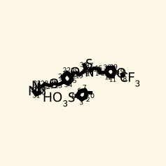 Cc1ccc(S(=O)(=O)O)cc1.FC(F)(F)Oc1ccc(C=Cc2nc(COc3ccc(COCCn4ccnn4)cc3)cs2)cc1